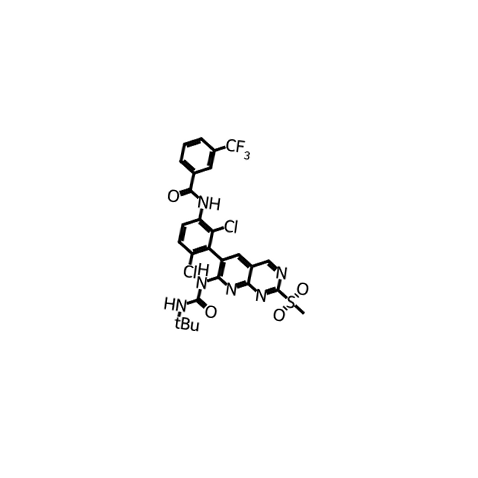 CC(C)(C)NC(=O)Nc1nc2nc(S(C)(=O)=O)ncc2cc1-c1c(Cl)ccc(NC(=O)c2cccc(C(F)(F)F)c2)c1Cl